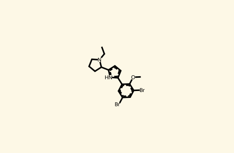 CCN1CCCC1c1ccc(-c2cc(Br)cc(Br)c2OC)[nH]1